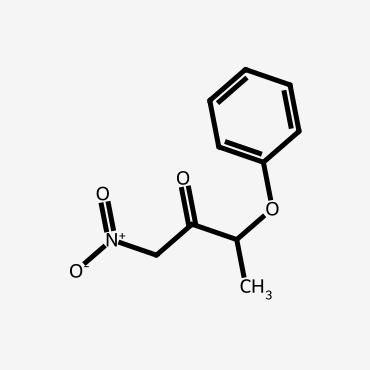 CC(Oc1ccccc1)C(=O)C[N+](=O)[O-]